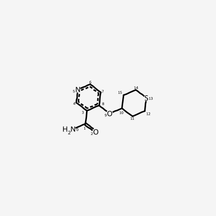 NC(=O)c1cnccc1OC1CCSCC1